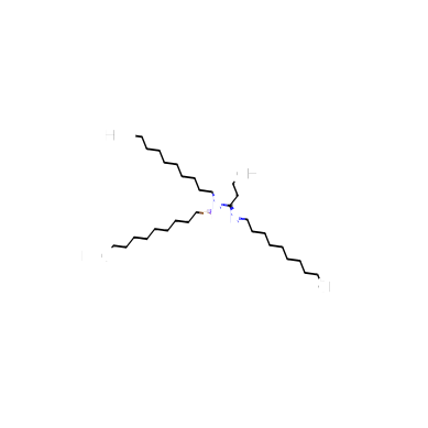 CCCCCCCCCC/N=C(\CCC)N(CCCCCCCCCC)SCCCCCCCCCC